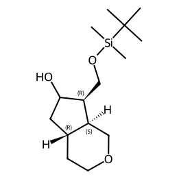 CC(C)(C)[Si](C)(C)OC[C@@H]1C(O)C[C@H]2CCOC[C@@H]21